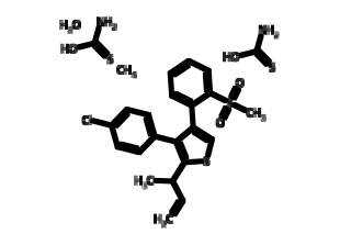 C.C=CC(C)c1scc(-c2ccccc2S(C)(=O)=O)c1-c1ccc(Cl)cc1.NC(O)=S.NC(O)=S.O